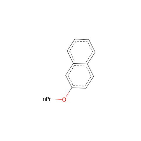 C[CH]COc1ccc2ccccc2c1